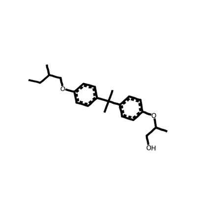 CCC(C)COc1ccc(C(C)(C)c2ccc(OC(C)CO)cc2)cc1